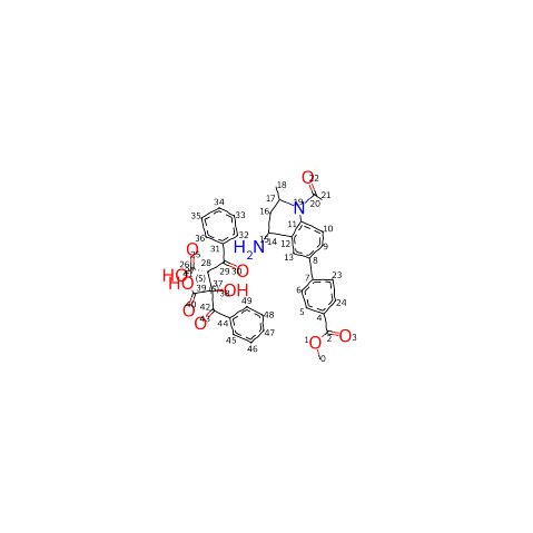 COC(=O)c1ccc(-c2ccc3c(c2)C(N)CC(C)N3C(C)=O)cc1.O=C(O)[C@H](C(=O)c1ccccc1)[C@@](O)(C(=O)O)C(=O)c1ccccc1